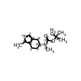 Cc1scc2c1CC[C@@H](N(C)C(=O)OC(C)(C)C)C2